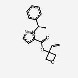 C=CC1(OC(=O)c2ccnn2[C@H](C)c2ccccc2)COC1